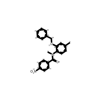 Cc1ccc(N(C)C(=O)c2ccc([N+](=O)[O-])cc2)c(OCc2ccccc2)c1